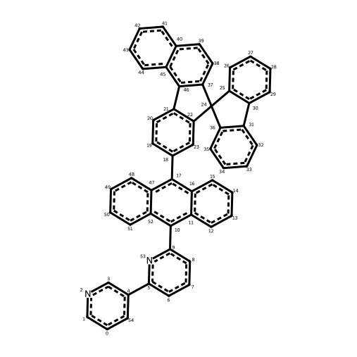 c1cncc(-c2cccc(-c3c4ccccc4c(-c4ccc5c(c4)C4(c6ccccc6-c6ccccc64)c4ccc6ccccc6c4-5)c4ccccc34)n2)c1